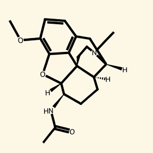 COc1ccc2c3c1O[C@H]1[C@H](NC(C)=O)CC[C@@H]4[C@@H](C2)N(C)CC[C@@]341